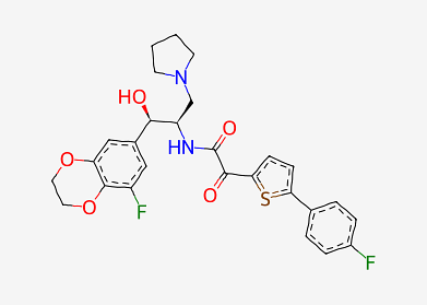 O=C(N[C@H](CN1CCCC1)[C@H](O)c1cc(F)c2c(c1)OCCO2)C(=O)c1ccc(-c2ccc(F)cc2)s1